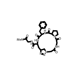 CNC(=O)CNC(=O)C1CC2CN(CC(=O)NCC(=O)N3CCCC3C(=O)NC(Cc3ccccc3)C(=O)N1)N=N2